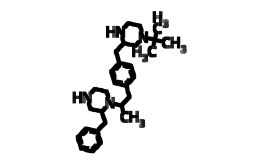 CC(Cc1ccc(CC2CN(C(C)(C)C)CCN2)cc1)N1CCNCC1Cc1ccccc1